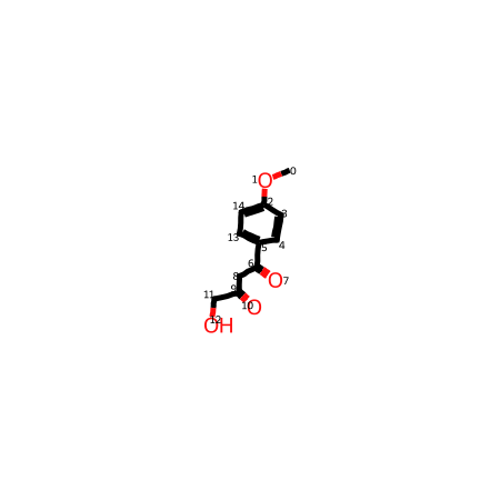 COc1ccc(C(=O)CC(=O)CO)cc1